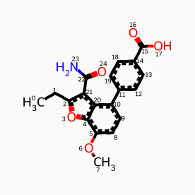 CCc1oc2c(OC)ccc(-c3ccc(C(=O)O)cc3)c2c1C(N)=O